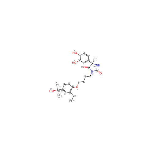 CCC1(c2ccc(O)c(O)c2)NC(=O)N(CCCCOc2ccc(C(O)(C(F)(F)F)C(F)(F)F)cc2CC(C)C)C1=O